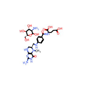 CN1c2c(nc(N)[nH]c2=O)NC[C@H]1CNc1ccc(C(=O)NC(CCC(=O)O)C(=O)O)cc1.N[C@H]1C(O)O[C@H](CO)[C@@H](O)[C@@H]1O